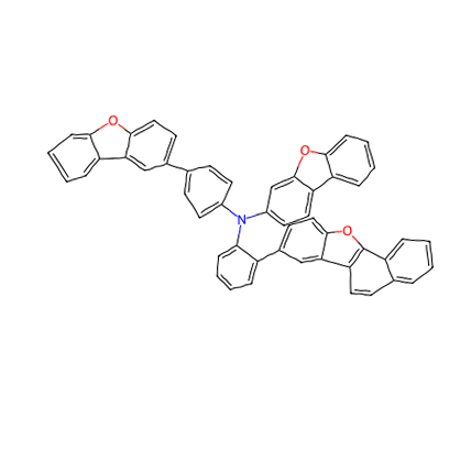 c1ccc(N(c2ccc(-c3ccc4oc5ccccc5c4c3)cc2)c2ccc3c(c2)oc2ccccc23)c(-c2ccc3oc4c5ccccc5ccc4c3c2)c1